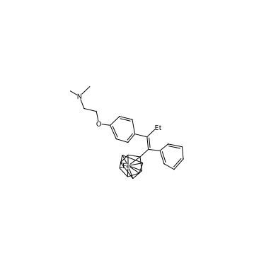 CCC(=C(c1ccccc1)[C]12[CH]3[CH]4[CH]5[CH]1[Fe]45321678[CH]2[CH]1[CH]6[CH]7[CH]28)c1ccc(OCCN(C)C)cc1